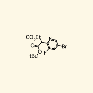 CCOC(=O)C(C(=O)OC(C)(C)C)c1ncc(Br)cc1F